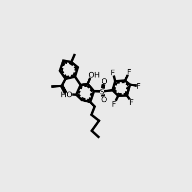 C=C(C)c1ccc(C)cc1-c1c(O)cc(CCCCC)c(S(=O)(=O)c2c(F)c(F)c(F)c(F)c2F)c1O